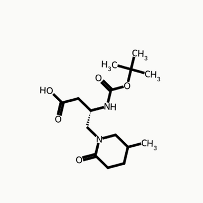 CC1CCC(=O)N(C[C@H](CC(=O)O)NC(=O)OC(C)(C)C)C1